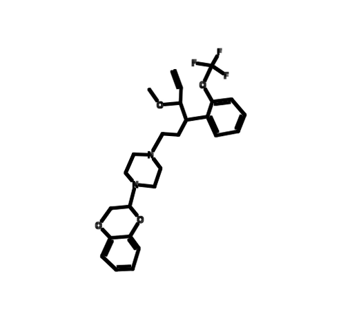 C=CC(OC)C(CCN1CCN(C2COc3ccccc3O2)CC1)c1ccccc1OC(F)(F)F